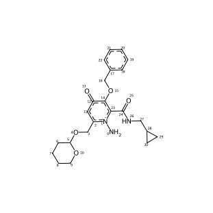 Nn1c(COC2CCCCO2)cc(=O)c(OCc2ccccc2)c1C(=O)NCC1CC1